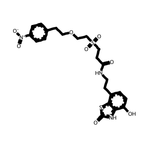 O=C(CCS(=O)(=O)CCOCCc1ccc([N+](=O)[O-])cc1)NCCc1ccc(O)c2[nH]c(=O)sc12